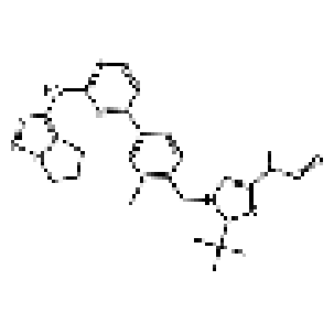 Cc1cc(-c2ccnc(Nc3cnn4c3CCC4)n2)ccc1CN1C=C(NC=O)SC1C(C)(C)C